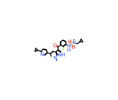 C=Nc1[nH]cc(C(=O)c2cccc(NS(=O)(=O)N(C)CC3CC3)c2F)c1/C=C(\C)c1ccc(C2CC2)nc1